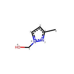 Cc1ccn(CO)n1